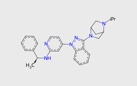 CC(C)N1CC2CC1CN2c1nn(-c2ccnc(N[C@@H](C)c3ccccc3)c2)c2ccccc12